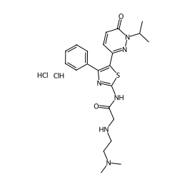 CC(C)n1nc(-c2sc(NC(=O)CNCCN(C)C)nc2-c2ccccc2)ccc1=O.Cl.Cl